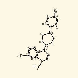 CN1C=CN(C2CCN(c3ncc(Br)cn3)CC2)c2ccc(F)cc21